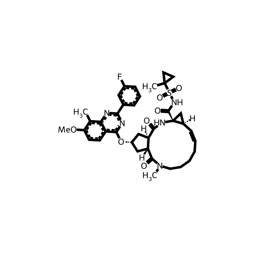 COc1ccc2c(O[C@@H]3C[C@H]4C(=O)N[C@]5(C(=O)NS(=O)(=O)C6(C)CC6)C[C@H]5/C=C\CCCCN(C)C(=O)[C@@H]4C3)nc(-c3cccc(F)c3)nc2c1C